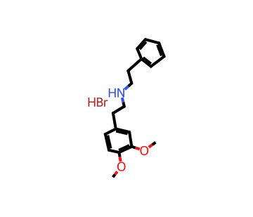 Br.COc1ccc(CCNCCc2ccccc2)cc1OC